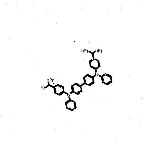 CCCC(CC)c1ccc(N(c2ccccc2)c2ccc(-c3ccc(N(c4ccccc4)c4ccc(C(CCC)CCC)cc4)cc3)cc2)cc1